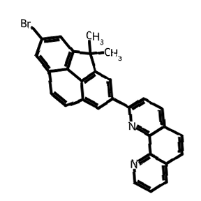 CC1(C)c2cc(Br)cc3ccc4cc(-c5ccc6ccc7cccnc7c6n5)cc1c4c23